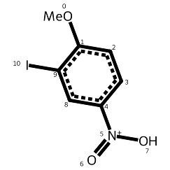 COc1ccc([N+](=O)O)cc1I